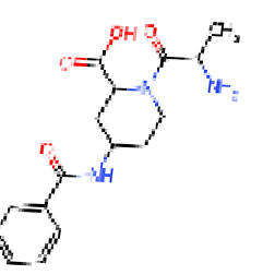 CC(N)C(=O)N1CCC(NC(=O)c2ccccc2)CC1C(=O)O